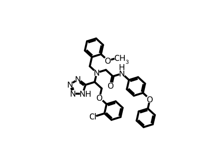 COc1ccccc1CN(CC(=O)Nc1ccc(Oc2ccccc2)cc1)C(COc1ccccc1Cl)c1nnn[nH]1